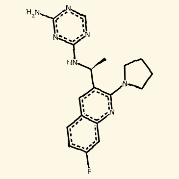 C[C@H](Nc1ncnc(N)n1)c1cc2ccc(F)cc2nc1N1CCCC1